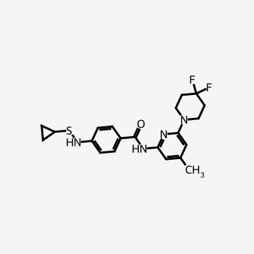 Cc1cc(NC(=O)c2ccc(NSC3CC3)cc2)nc(N2CCC(F)(F)CC2)c1